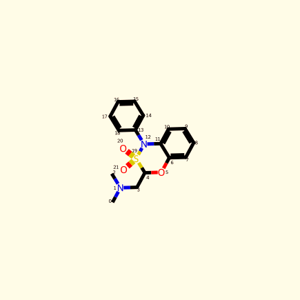 CN(C)CC1Oc2ccccc2N(c2ccccc2)S1(=O)=O